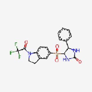 O=C1NC(c2ccccc2)C(S(=O)(=O)c2ccc3c(c2)CCN3C(=O)C(F)(F)F)N1